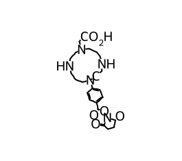 O=C(O)CN1CCCNCCN(c2ccc(C(=O)ON3C(=O)CCC3=O)cc2)CCCNCC1